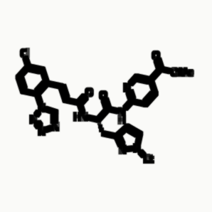 CCn1ccc(C[C@H](NC(=O)/C=C/c2cc(Cl)ccc2-n2cnnn2)C(=O)Nc2ccc(C(=O)OC)cn2)n1